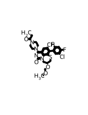 C=CC(=O)N1CCN(c2nc(=O)n3c4c(c(-c5cc(Cl)c(F)cc5F)c(C)cc24)SC[C@H](OCOC)C3)CC1